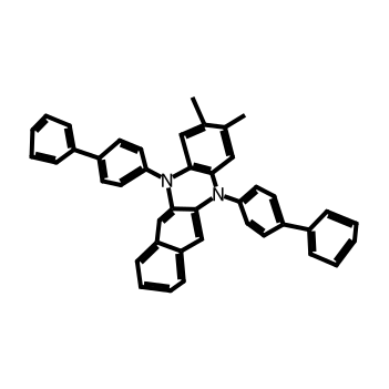 Cc1cc2c(cc1C)N(c1ccc(-c3ccccc3)cc1)c1cc3ccccc3cc1N2c1ccc(-c2ccccc2)cc1